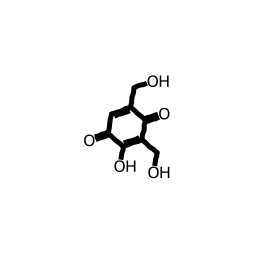 O=C1C=C(CO)C(=O)C(CO)=C1O